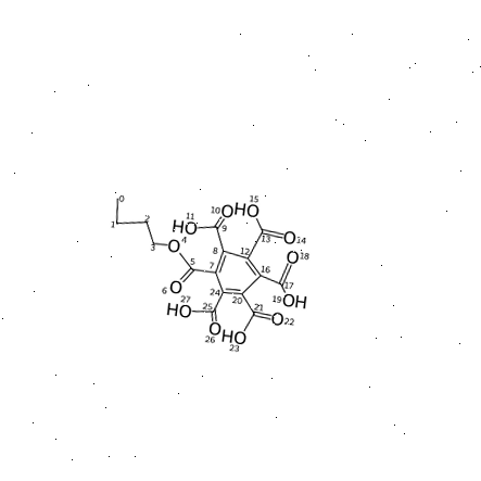 CCCCOC(=O)c1c(C(=O)O)c(C(=O)O)c(C(=O)O)c(C(=O)O)c1C(=O)O